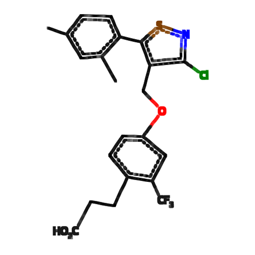 Cc1ccc(-c2snc(Cl)c2COc2ccc(CCC(=O)O)c(C(F)(F)F)c2)c(C)c1